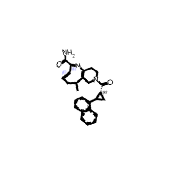 CC1C/C=C/C(C(N)=O)=N\C2=C1CN(C(=O)[C@@H]1CC1c1cccc3ccccc13)CC2